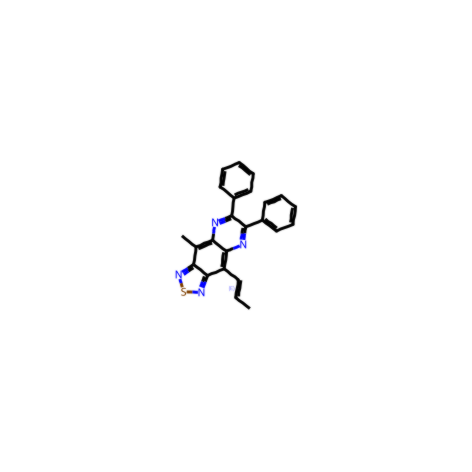 C/C=C/c1c2nsnc2c(C)c2nc(-c3ccccc3)c(-c3ccccc3)nc12